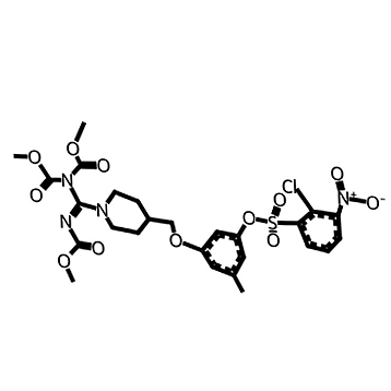 COC(=O)/N=C(\N1CCC(COc2cc(C)cc(OS(=O)(=O)c3cccc([N+](=O)[O-])c3Cl)c2)CC1)N(C(=O)OC)C(=O)OC